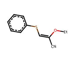 CCOC(C#N)=CSc1ccccc1